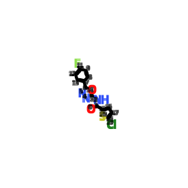 O=C(Nc1nnc(-c2ccc(F)cc2)o1)c1ccc(Cl)s1